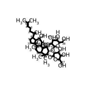 C=C(CCC=C(C)C)C1CCC2(C)C1[C@H](O)CC1[C@@]3(C)CCC(OC4OC(CO)C(O)C(O)C4OC4OC(CO)C(O)C(O)C4O)C(C)(C)C3CC[C@]12C